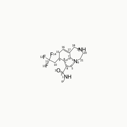 CNC(=O)c1cn2c3c1C(CC(F)(F)F)CC=C3CNCC2